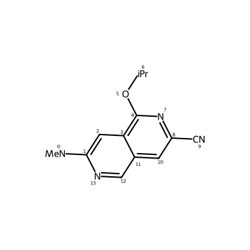 CNc1cc2c(OC(C)C)nc(C#N)cc2cn1